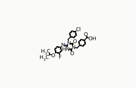 CC(C)Oc1ccc(/N=c2\[nH]c(=O)n(Cc3ccc(C(=O)O)cc3)c(=O)n2Cc2ccc(Cl)cc2)cc1F